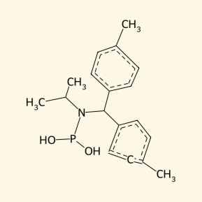 Cc1ccc(C(c2ccc(C)cc2)N(C(C)C)P(O)O)cc1